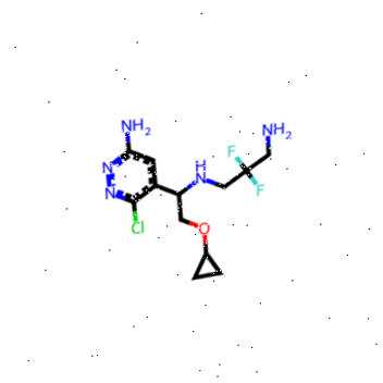 NCC(F)(F)CNC(COC1CC1)c1cc(N)nnc1Cl